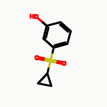 O=S(=O)(c1cccc(O)c1)C1CC1